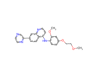 COCCOc1ccc(Nc2ccnc3cc(-c4cnccn4)ccc23)c(OC)c1